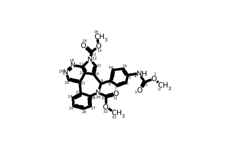 COC(=O)Nc1ccc(C2c3cn(C(=O)OC)c4nncc(c34)-c3ccccc3N2C(=O)OC)cc1